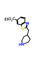 CCOC(=O)c1ccc2nc(CC3CCNCC3)sc2c1